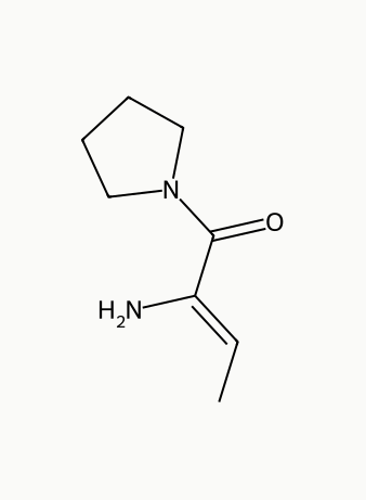 CC=C(N)C(=O)N1CCCC1